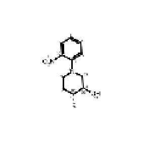 C[C@@H]1CCN(c2ccccc2[N+](=O)[O-])C[C@H]1O